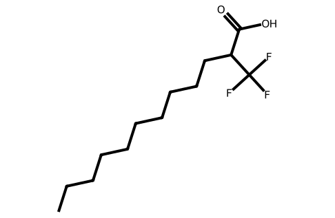 CCCCCCCCCCC(C(=O)O)C(F)(F)F